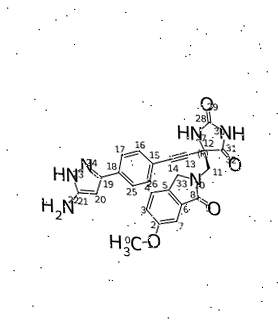 COc1ccc2c(c1)C(=O)N(C[C@@]1(C#Cc3ccc(-c4cc(N)[nH]n4)cc3)NC(=O)NC1=O)C2